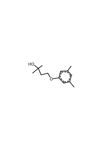 Cc1[c]c(C)cc(OCCC(C)(C)O)c1